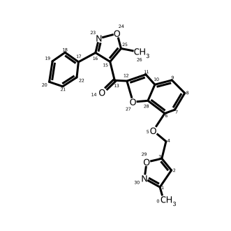 Cc1cc(COc2cccc3cc(C(=O)c4c(-c5ccccc5)noc4C)oc23)on1